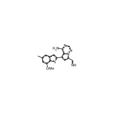 COc1cc(C)cc2cc(-c3cc(C=N)n4ncnc(N)c34)sc12